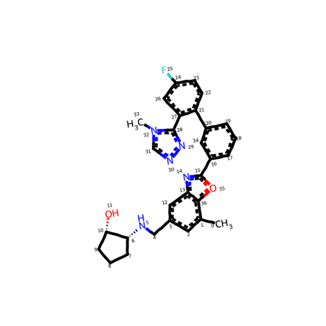 Cc1cc(CN[C@@H]2CCC[C@@H]2O)cc2nc(-c3cccc(-c4ccc(F)cc4-c4nncn4C)c3)oc12